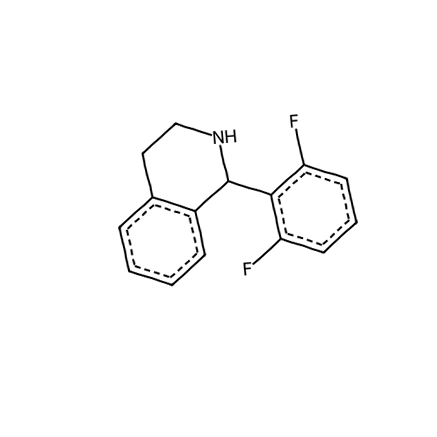 Fc1cccc(F)c1C1NCCc2ccccc21